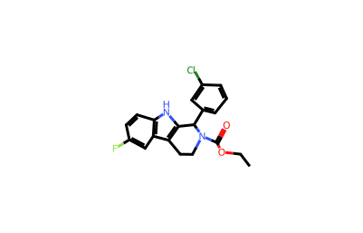 CCOC(=O)N1CCc2c([nH]c3ccc(F)cc23)C1c1cccc(Cl)c1